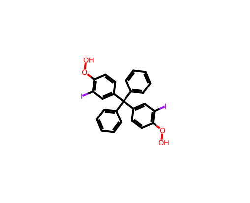 OOc1ccc(C(c2ccccc2)(c2ccccc2)c2ccc(OO)c(I)c2)cc1I